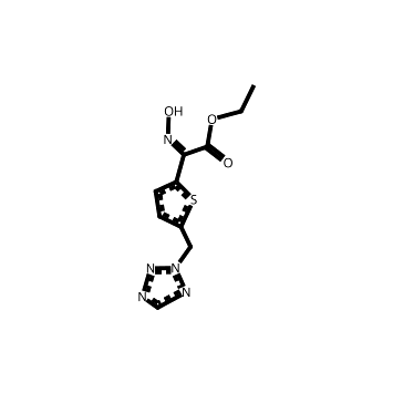 CCOC(=O)/C(=N\O)c1ccc(Cn2ncnn2)s1